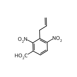 C=CCc1c([N+](=O)[O-])ccc(C(=O)O)c1[N+](=O)[O-]